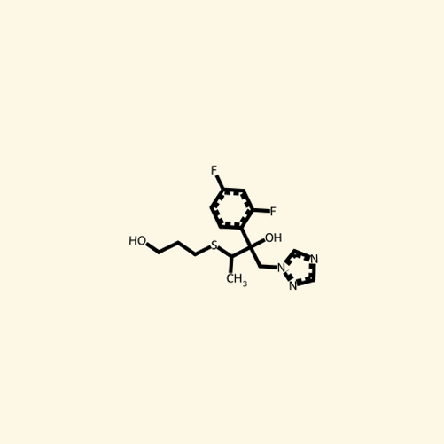 CC(SCCCO)C(O)(Cn1cncn1)c1ccc(F)cc1F